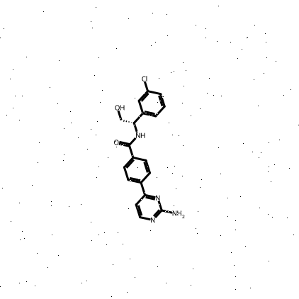 Nc1nccc(-c2ccc(C(=O)N[C@H](CO)c3cccc(Cl)c3)cc2)n1